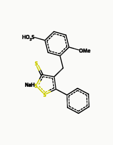 COc1ccc(S(=O)(=O)O)cc1Cc1c(-c2ccccc2)ssc1=S.[NaH]